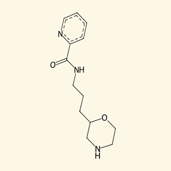 O=C(NCCCC1CNCCO1)c1ccccn1